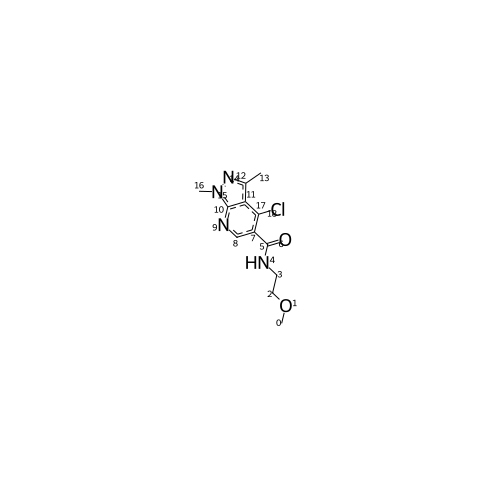 COCCNC(=O)c1cnc2c(c(C)nn2C)c1Cl